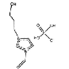 C=C[n+]1ccn(CCCO)c1.O=P([O-])(O)O